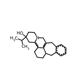 CC(C)C1(O)CCN2CC3=C4C(=C2C1)CCCC4Cc1ccccc1C3